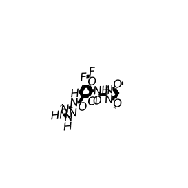 COc1cc(OC)nc(C(=O)Nc2c(OC(F)F)ccc(C(=O)NC3=NNNN3C)c2Cl)n1